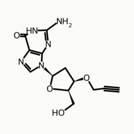 C#CCO[C@@H]1C[C@H](n2cnc3c(=O)[nH]c(N)nc32)O[C@@H]1CO